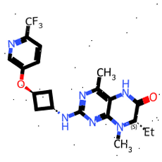 CC[C@H]1C(=O)Nc2c(C)nc(N[C@H]3C[C@H](Oc4ccc(C(F)(F)F)nc4)C3)nc2N1C